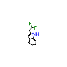 FC(F)Cc1cc2ccccc2[nH]1